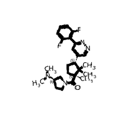 CN(C)[C@@H]1CCN(C(=O)[C@@]2(C)CC[C@H](c3cnnc(-c4c(F)cccc4F)c3)C2(C)C)C1